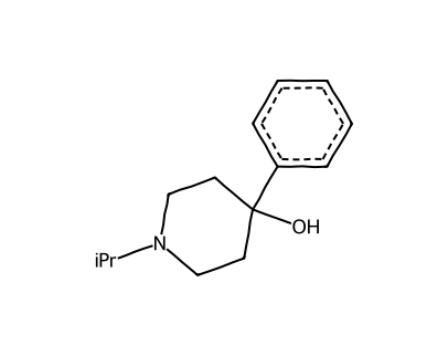 CC(C)N1CCC(O)(c2ccccc2)CC1